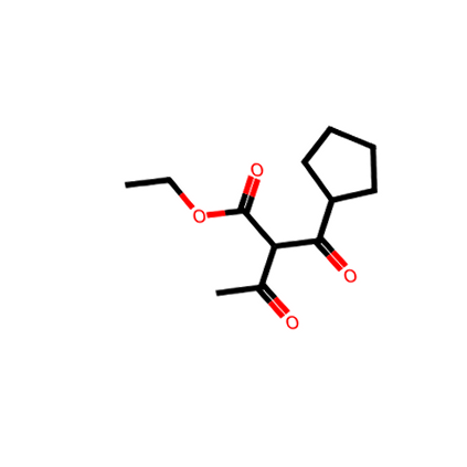 CCOC(=O)C(C(C)=O)C(=O)C1CCCC1